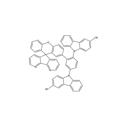 N#Cc1ccc2c(c1)c1ccccc1n2-c1ccc(-n2c3ccccc3c3cc(C#N)ccc32)c(-c2ccc3c(c2)C2(c4ccccc4O3)c3cccnc3-c3ncccc32)c1